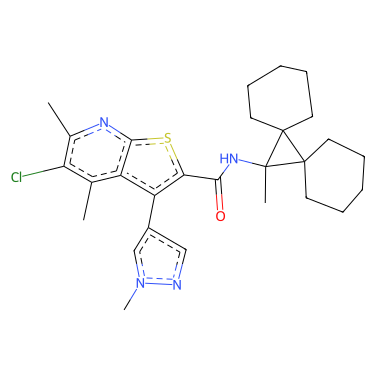 Cc1nc2sc(C(=O)NC3(C)C4(CCCCC4)C34CCCCC4)c(-c3cnn(C)c3)c2c(C)c1Cl